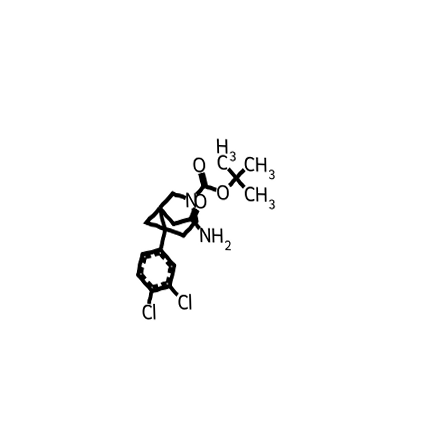 CC(C)(C)OC(=O)N1CCC2(c3ccc(Cl)c(Cl)c3)CC2(CC(N)=O)C1